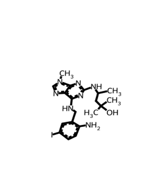 CC(CC(C)(C)O)Nc1nc(NCc2cc(I)ccc2N)c2ncn(C)c2n1